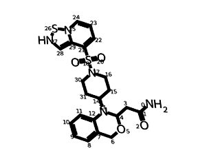 NC(=O)CC1OCc2ccccc2N1C1CCN(S(=O)(=O)C2=CC=CN3SNC=C23)CC1